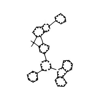 CC1(C)c2cc(-c3nc(-c4ccccc4)nc(-n4c5ccccc5c5ccccc54)n3)ccc2-c2c1ccc1nc(-c3ccccc3)sc21